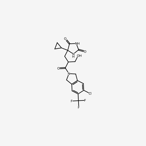 O=C1NC(=O)C(CC(CO)C(=O)N2Cc3cc(Cl)c(C(F)(F)F)cc3C2)(C2CC2)N1